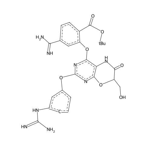 CC(C)(C)OC(=O)c1ccc(C(=N)N)cc1Oc1nc(Oc2cccc(NC(=N)N)c2)nc2c1NC(=O)C(CO)O2